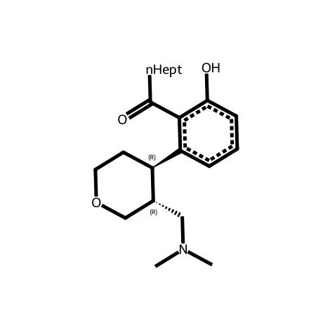 CCCCCCCC(=O)c1c(O)cccc1[C@@H]1CCOC[C@H]1CN(C)C